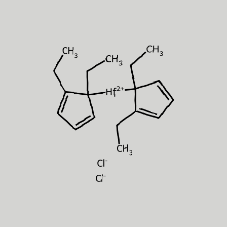 CCC1=CC=C[C]1(CC)[Hf+2][C]1(CC)C=CC=C1CC.[Cl-].[Cl-]